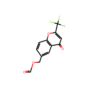 O=[C]OCc1ccc2oc(C(F)(F)F)cc(=O)c2c1